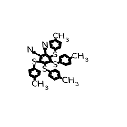 Cc1ccc(Sc2c(C#N)c(C#N)c(Sc3ccc(C)cc3)c(Sc3ccc(C)cc3)c2Sc2ccc(C)cc2)cc1